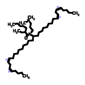 CCCC/C=C\C/C=C\CCCCCCCCCC(CCCCCCCC/C=C\C/C=C\CCCC)N(CCCN(C)C)C(=O)C(CC)CCCCC